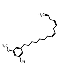 C=CC/C=C\C/C=C\CCCCCCCc1cc(O)cc(OC)c1